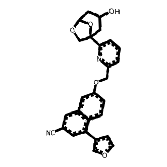 N#Cc1cc(-c2ccoc2)c2ccc(OCc3cccc(C45COC(CC(O)C4)O5)n3)cc2c1